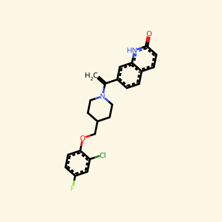 C=C(c1ccc2ccc(=O)[nH]c2c1)N1CCC(COc2ccc(F)cc2Cl)CC1